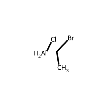 CCBr.[AlH2][Cl]